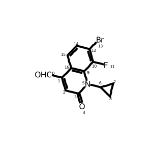 O=Cc1cc(=O)n(C2CC2)c2c(F)c(Br)ccc12